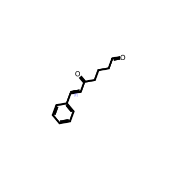 O=CCCCC(=O)/C=C/c1ccccc1